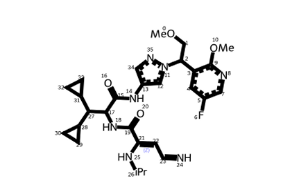 COCC(c1cc(F)cnc1OC)n1cc(NC(=O)C(NC(=O)/C(=C/C=N)NC(C)C)C(C2CC2)C2CC2)cn1